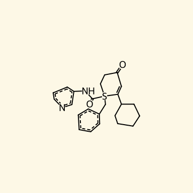 O=C1C=C(C2CCCCC2)S(Cc2ccccc2)(C(=O)Nc2cccnc2)CC1